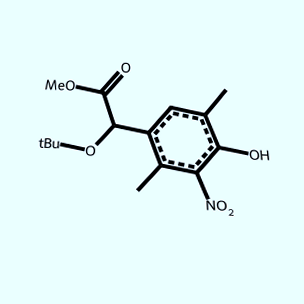 COC(=O)C(OC(C)(C)C)c1cc(C)c(O)c([N+](=O)[O-])c1C